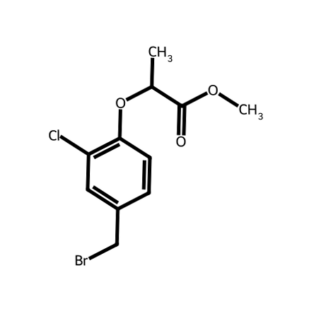 COC(=O)C(C)Oc1ccc(CBr)cc1Cl